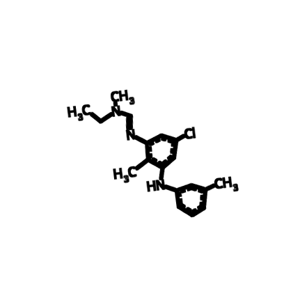 CCN(C)C=Nc1cc(Cl)cc(Nc2cccc(C)c2)c1C